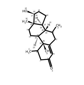 CC1CC2=CC(=O)CC(C)[C@]2(C)[C@H]2CC[C@]3(C)[C@@H](O)CC[C@H]3[C@H]12